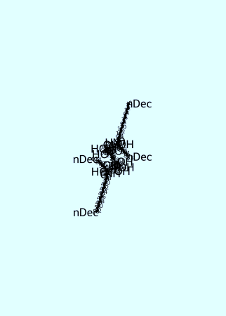 CCCCCCCCCCCCCCCCCCCCCCCCCC(=O)N[C@@H](CO[C@H]1O[C@H](CSSC[C@H]2O[C@H](OC[C@H](NC(=O)CCCCCCCCCCCCCCCCCCCCCCCCC)[C@H](O)[C@H](O)CCCCCCCCCCCCCC)[C@H](O)[C@@H](O)[C@H]2O)[C@H](O)[C@H](O)[C@H]1O)[C@H](O)[C@H](O)CCCCCCCCCCCCCC